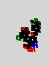 O=C(O)c1[nH]c2ccc(OCc3ccc(C(F)(F)F)cc3)cc2c1Cc1cc2c(cc1Cl)OCO2